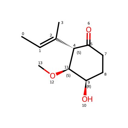 CC=C(C)[C@@H]1C(=O)CC[C@@H](O)[C@H]1OC